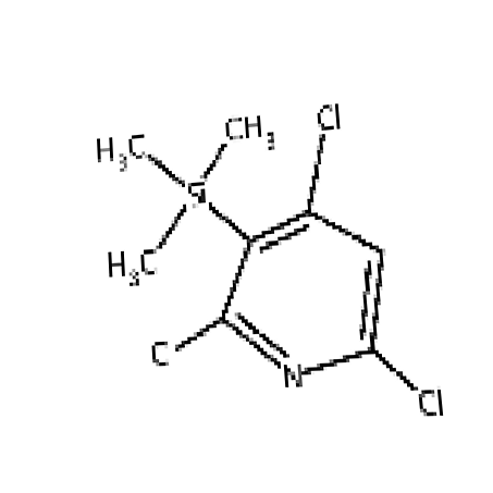 C[Si](C)(C)c1c(Cl)cc(Cl)nc1Cl